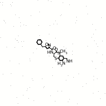 CN1C(=O)[C@@H](NC(=O)c2cc(Cc3ccccc3)on2)CSc2cc(N)c(C=N)cc21